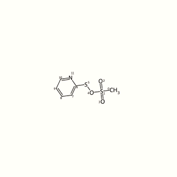 CS(=O)(=O)OSc1ccccn1